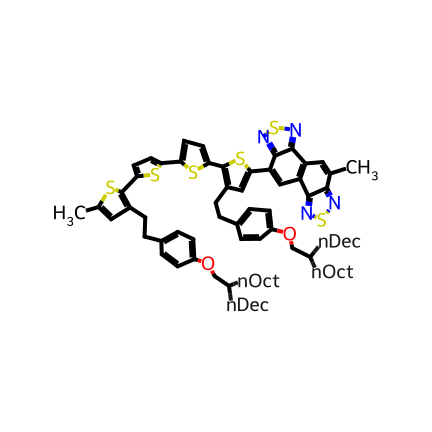 CCCCCCCCCCC(CCCCCCCC)COc1ccc(CCc2cc(C)sc2-c2ccc(-c3ccc(-c4sc(-c5cc6c(cc(C)c7nsnc76)c6nsnc56)cc4CCc4ccc(OCC(CCCCCCCC)CCCCCCCCCC)cc4)s3)s2)cc1